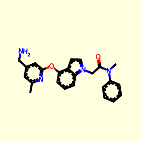 Cc1cc(CN)cc(Oc2cccc3c2ccn3CC(=O)N(C)c2ccccc2)n1